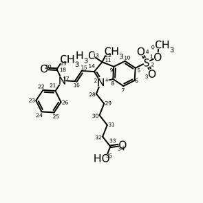 COS(=O)(=O)c1ccc2c(c1)C(C)(C)C(/C=C/N(C(C)=O)c1ccccc1)=[N+]2CCCCCC(=O)O